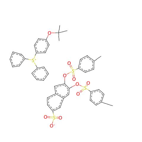 CC(C)(C)Oc1ccc([S+](c2ccccc2)c2ccccc2)cc1.Cc1ccc(S(=O)(=O)Oc2cc3ccc(S(=O)(=O)[O-])cc3cc2OS(=O)(=O)c2ccc(C)cc2)cc1